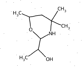 CC1CC(C)(C)NC(C(C)O)O1